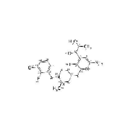 CC(C)C(=O)c1cc(N)nc(CC2CCN(Cc3cccc(Cl)c3F)[C@H](C)C2)c1F